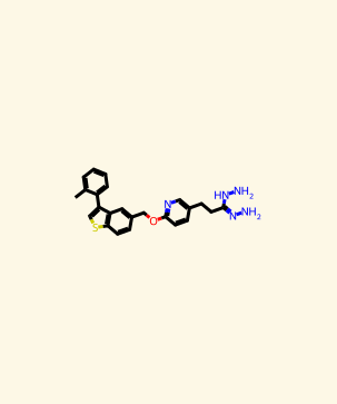 Cc1ccccc1-c1csc2ccc(COc3ccc(CC/C(=N/N)NN)cn3)cc12